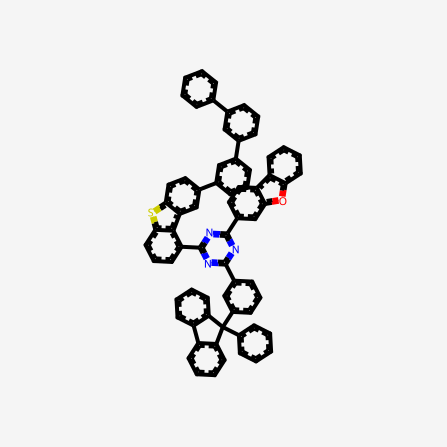 c1ccc(-c2cccc(-c3cccc(-c4ccc5sc6cccc(-c7nc(-c8cccc(C9(c%10ccccc%10)c%10ccccc%10-c%10ccccc%109)c8)nc(-c8ccc9c(c8)oc8ccccc89)n7)c6c5c4)c3)c2)cc1